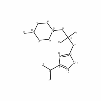 CC(C)c1noc(CC(C)(C)CN2CCN(C)CC2)n1